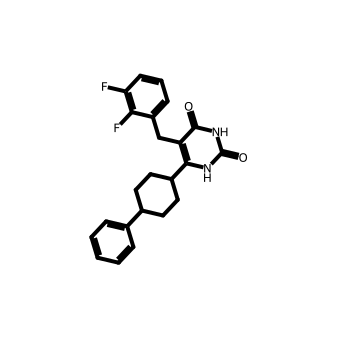 O=c1[nH]c(C2CCC(c3ccccc3)CC2)c(Cc2cccc(F)c2F)c(=O)[nH]1